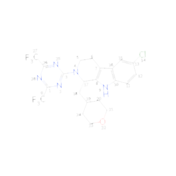 FC(F)(F)c1nc(N2CCc3c([nH]c4ccc(Cl)cc34)[C@@H]2CC2CCOCC2)nc(C(F)(F)F)n1